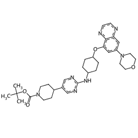 CC(C)(C)OC(=O)N1CCC(c2cnc(NC3CCC(Oc4cc(N5CCOCC5)cc5nccnc45)CC3)nc2)CC1